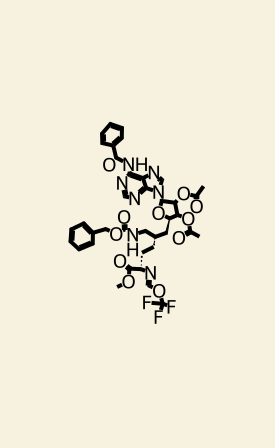 COC(=O)[C@H](CC[C@H](CNC(=O)OCc1ccccc1)C[C@H]1O[C@@H](n2cnc3c(NC(=O)c4ccccc4)ncnc32)C(OC(C)=O)C1OC(C)=O)N=COC(F)(F)F